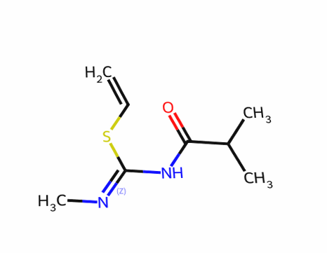 C=CS/C(=N\C)NC(=O)C(C)C